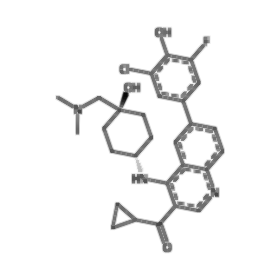 CN(C)C[C@]1(O)CC[C@H](Nc2c(C(=O)C3CC3)cnc3ccc(-c4cc(F)c(O)c(Cl)c4)cc23)CC1